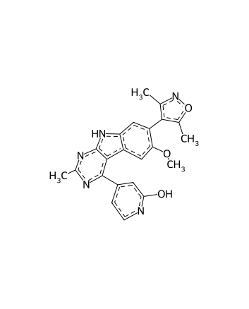 COc1cc2c(cc1-c1c(C)noc1C)[nH]c1nc(C)nc(-c3ccnc(O)c3)c12